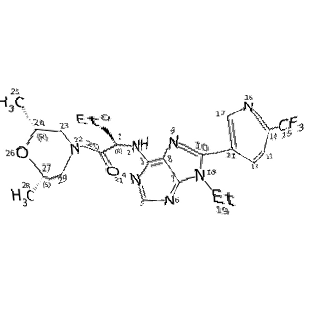 CC[C@@H](Nc1ncnc2c1nc(-c1ccc(C(F)(F)F)nc1)n2CC)C(=O)N1C[C@@H](C)O[C@@H](C)C1